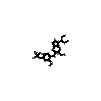 CCC(CC)n1ncc2nc(Cc3ccc(OC(F)(F)F)cc3OC)c(OC)nc21